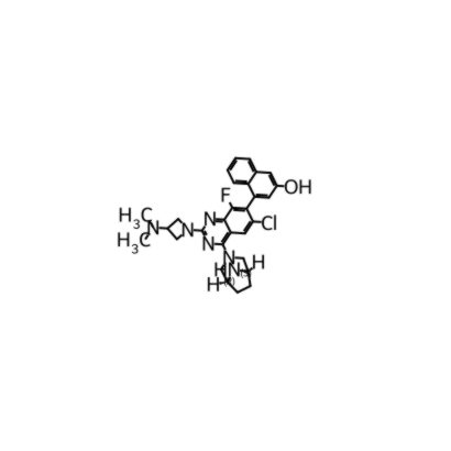 CN(C)C1CN(c2nc(N3C[C@H]4CC[C@@H](C3)N4)c3cc(Cl)c(-c4cc(O)cc5ccccc45)c(F)c3n2)C1